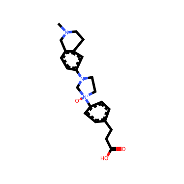 CN1CCc2cc(N3CC[N+]([O-])(c4ccc(CCC(=O)O)cc4)C3)ccc2C1